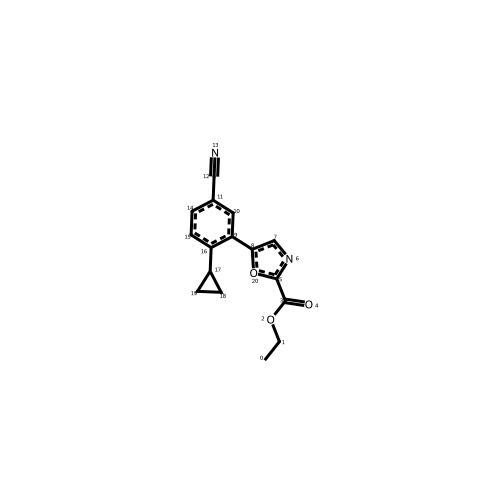 CCOC(=O)c1ncc(-c2cc(C#N)ccc2C2CC2)o1